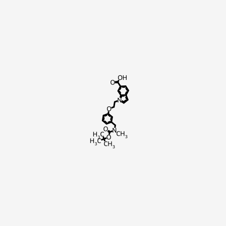 CN(Cc1cccc(OCCn2ccc3ccc(C(=O)O)cc32)c1)C(=O)OC(C)(C)C